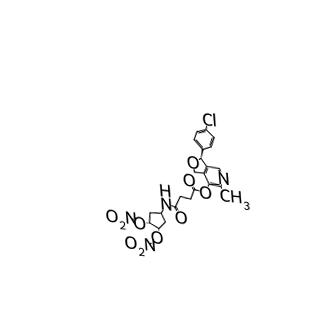 Cc1ncc2c(c1OC(=O)CCC(=O)NC1C[C@H](O[N+](=O)[O-])[C@H](O[N+](=O)[O-])C1)CO[C@H]2c1ccc(Cl)cc1